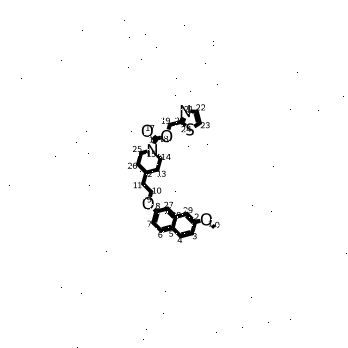 COc1ccc2ccc(OCCC3CCN(C(=O)OCc4nccs4)CC3)cc2c1